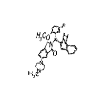 COc1ccc(F)cc1[C@H](c1cc2ccccc2[nH]1)N1Cc2ccc(N3CCN(C)CC3)cc2C1=O